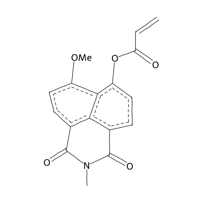 C=CC(=O)Oc1ccc2c3c(ccc(OC)c13)C(=O)N(C)C2=O